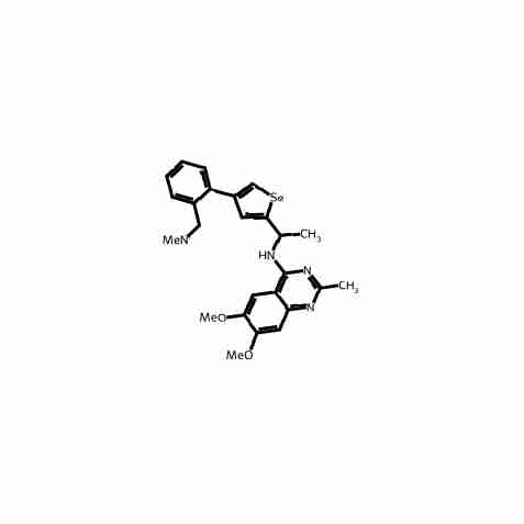 CNCc1ccccc1-c1c[se]c(C(C)Nc2nc(C)nc3cc(OC)c(OC)cc23)c1